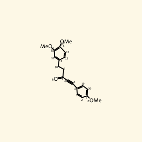 COc1ccc(C#CC(=O)CCc2ccc(OC)c(OC)c2)cc1